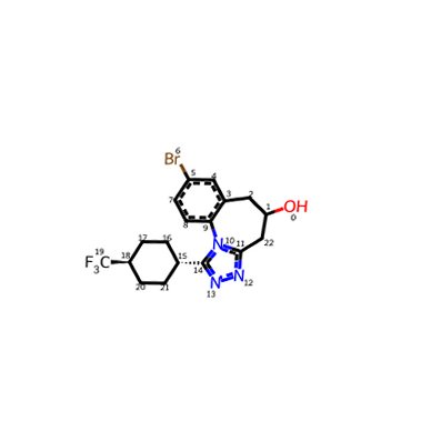 OC1Cc2cc(Br)ccc2-n2c(nnc2[C@H]2CC[C@H](C(F)(F)F)CC2)C1